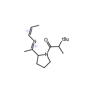 C/C=C\N=C(/C)C1CCCN1C(=O)C(C)C(C)(C)C